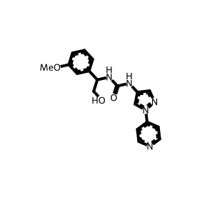 COc1cccc(C(CO)NC(=O)Nc2cnn(-c3ccncc3)c2)c1